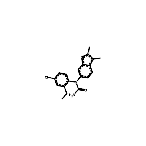 CCc1cc(Cl)ccc1N(C(N)=O)c1ccc2c(C)n(C)nc2c1